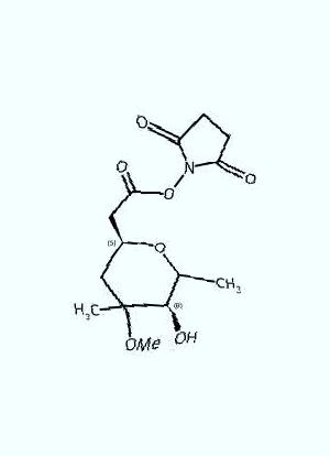 COC1(C)C[C@@H](CC(=O)ON2C(=O)CCC2=O)OC(C)[C@H]1O